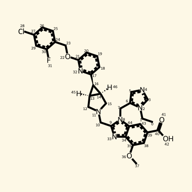 CCn1cncc1Cn1c(CN2C[C@@H]3[C@H](C2)[C@@H]3c2cccc(OCc3ccc(Cl)cc3F)n2)nc2c(OC)cc(C(=O)O)cc21